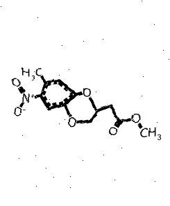 COC(=O)CC1COc2cc([N+](=O)[O-])c(C)cc2O1